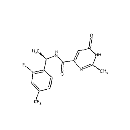 Cc1nc(C(=O)N[C@H](C)c2ccc(C(F)(F)F)cc2F)cc(=O)[nH]1